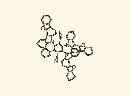 N#Cc1c(-c2ccccc2)c(-n2c3ccccc3c3c4oc5ccccc5c4ccc32)c(C#N)c(-n2c3ccccc3c3c4oc5ccccc5c4ccc32)c1-n1c2ccccc2c2c3oc4ccccc4c3ccc21